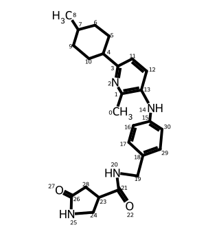 Cc1nc(C2CCC(C)CC2)ccc1Nc1ccc(CNC(=O)C2CNC(=O)C2)cc1